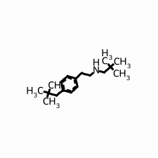 CC(C)(C)CNCCc1ccc(CC(C)(C)C)cc1